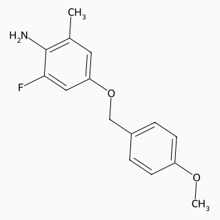 COc1ccc(COc2cc(C)c(N)c(F)c2)cc1